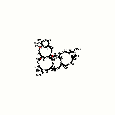 COC[C@H](O)[C@H]1OC(=O)CC2(O)CC(=O)OC[C@@H](O)[C@H]3OC(=O)C(O)(CC(=O)OC[C@H](O)[C@H]4OC(=O)C(O)(CC(=O)OC[C@H](O)[C@H]3O)CC(=O)O[C@H](COC)[C@H]4O)CC(=O)O[C@@H]([C@@H]3OC(=O)C(O)(CC(=O)OC[C@@H](O)[C@H]1O)CC(=O)OC[C@H](O)[C@H]1OC(=O)C(O)(CC(=O)OC[C@H]3O)CC(=O)OC[C@@H](O)[C@H]1OC)[C@@H](O)COC2=O